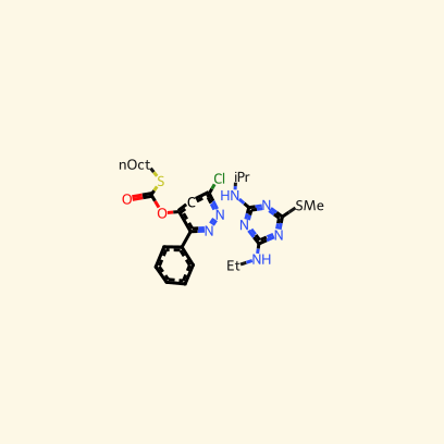 CCCCCCCCSC(=O)Oc1cc(Cl)nnc1-c1ccccc1.CCNc1nc(NC(C)C)nc(SC)n1